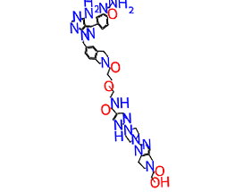 Nc1nc2cc(-c3nn(Cc4ccc5c(c4)CCN(C(=O)CCOCCNC(=O)C4=CNC(N6CCN(c7ncc8c(n7)CCN(C(=O)CO)C8)CC6)N=C4)C5)c4ncnc(N)c34)ccc2o1